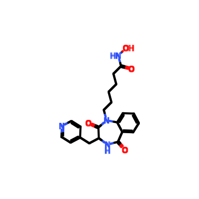 O=C(CCCCCN1C(=O)C(Cc2ccncc2)NC(=O)c2ccccc21)NO